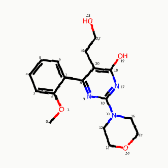 COc1ccccc1-c1nc(N2CCOCC2)nc(O)c1CCO